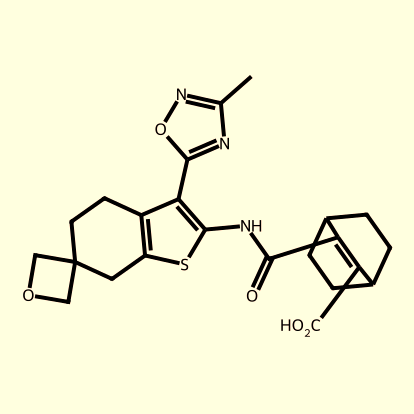 Cc1noc(-c2c(NC(=O)C3=C(C(=O)O)C4CCC3CC4)sc3c2CCC2(COC2)C3)n1